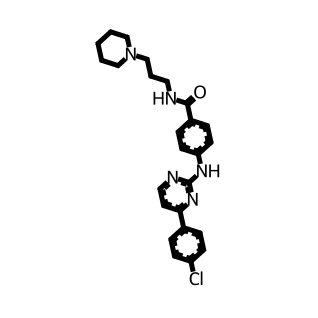 O=C(NCCCN1CCCCC1)c1ccc(Nc2nccc(-c3ccc(Cl)cc3)n2)cc1